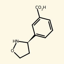 O=C(O)c1cccc([C@H]2CCON2)c1